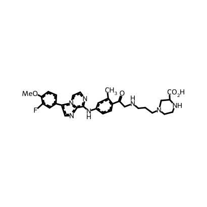 COc1ccc(-c2cnc3c(Nc4ccc(C(=O)CNCCCN5CCNC(C(=O)O)C5)c(C)c4)nccn23)cc1F